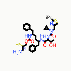 CC(C)c1nc(CN(C(=O)NC(C(=O)NC(CCC(Cc2ccccc2)NC(=O)OC/C(S)=C/N)Cc2ccccc2)C(C)O)C2CC2)cs1